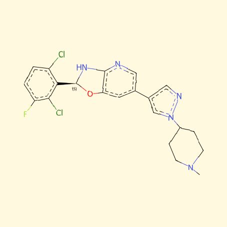 CN1CCC(n2cc(-c3cnc4c(c3)O[C@@H](c3c(Cl)ccc(F)c3Cl)N4)cn2)CC1